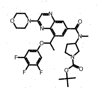 CC(Oc1cc(F)c(F)c(F)c1)c1cc(C(=O)N(C)C2CCN(C(=O)OC(C)(C)C)C2)cc2ncc(N3CCOCC3)nc12